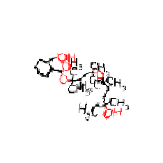 CC(C)(O)CCC(C)(C)OC(C)(C)CCC(C)(C)OC(=O)c1ccccc1CO